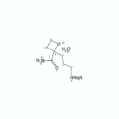 CCCCCCCCCCC1(C(N)=O)CCO1.O